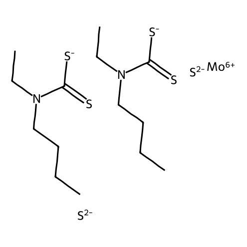 CCCCN(CC)C(=S)[S-].CCCCN(CC)C(=S)[S-].[Mo+6].[S-2].[S-2]